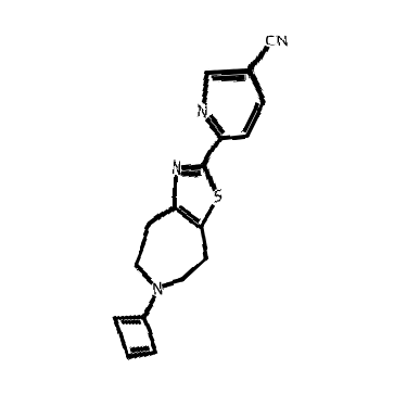 N#Cc1ccc(-c2nc3c(s2)CCN(C2=CC=C2)CC3)nc1